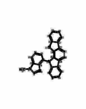 Cn1cnc2c(-n3c4ccccc4c4ccc5c6ccccc6oc5c43)cccc21